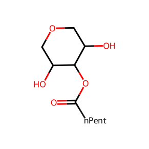 CCCCCC(=O)OC1C(O)COCC1O